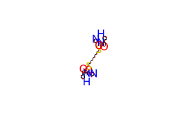 O=C(N[C@@H](Cc1ccccc1)C(=O)CCSCCCCCCCCCCSCCC(=O)[C@H](Cc1ccccc1)NC(=O)c1cccnc1)c1cccnc1